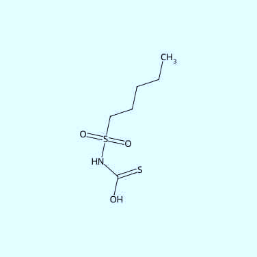 CCCCCS(=O)(=O)NC(O)=S